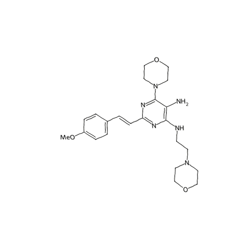 COc1ccc(C=Cc2nc(NCCN3CCOCC3)c(N)c(N3CCOCC3)n2)cc1